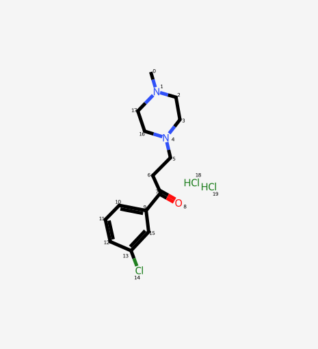 CN1CCN(CCC(=O)c2cccc(Cl)c2)CC1.Cl.Cl